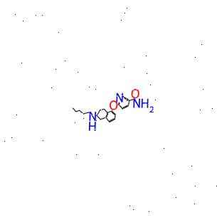 CCCCCNC1CCc2c(cccc2Oc2ccc(C(N)=O)cn2)C1